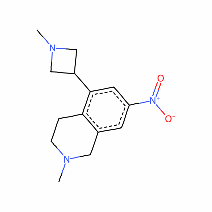 CN1CCc2c(cc([N+](=O)[O-])cc2C2CN(C)C2)C1